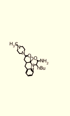 CCCCC(NC(=O)C(CC(=O)N1CCN(C)CC1)Cc1ccccc1)C(N)=O